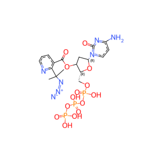 CC(C)(N=[N+]=[N-])c1ncccc1C(=O)OC1C[C@H](n2ccc(N)nc2=O)O[C@@H]1COP(=O)(O)OP(=O)(O)OP(=O)(O)O